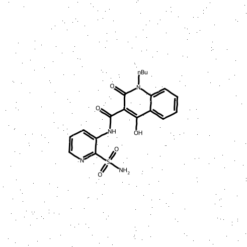 CCCCn1c(=O)c(C(=O)Nc2cccnc2S(N)(=O)=O)c(O)c2ccccc21